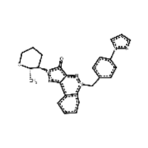 C[C@@H]1OCCC[C@H]1n1nc2c3ccccc3n(Cc3ccc(-n4cccn4)cc3)nc-2c1=O